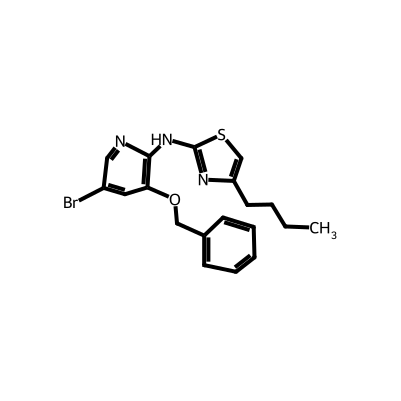 CCCCc1csc(Nc2ncc(Br)cc2OCc2ccccc2)n1